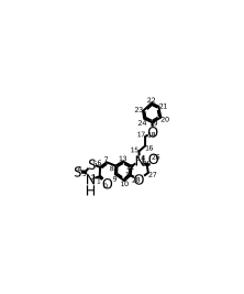 O=C1NC(=S)S/C1=C/c1ccc2c(c1)N(CCCOc1ccccc1)C(=O)CO2